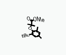 COC(=O)C(C)(C)Oc1c(C)cc(C)cc1C(C)(C)C